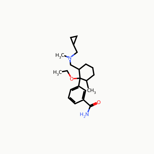 CCOC1(c2cccc(C(N)=O)c2)C(C)CCCC1CN(C)CC1CC1